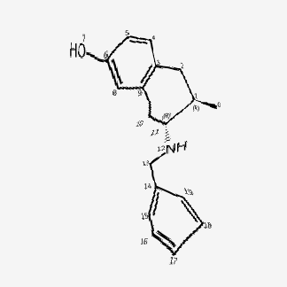 C[C@@H]1Cc2ccc(O)cc2C[C@H]1NCc1ccccc1